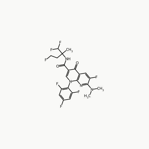 CN(C)c1nc2c(cc1F)c(=O)c(C(=O)NC(C)(CCF)C(F)F)cn2-c1c(F)cc(F)cc1F